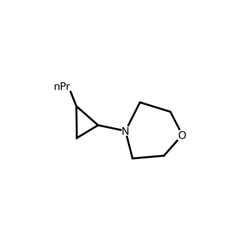 CCCC1CC1N1CCOCC1